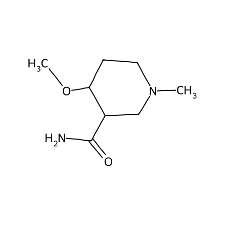 COC1CCN(C)CC1C(N)=O